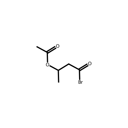 CC(=O)OC(C)CC(=O)Br